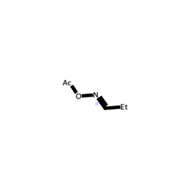 CC/C=N/OC(C)=O